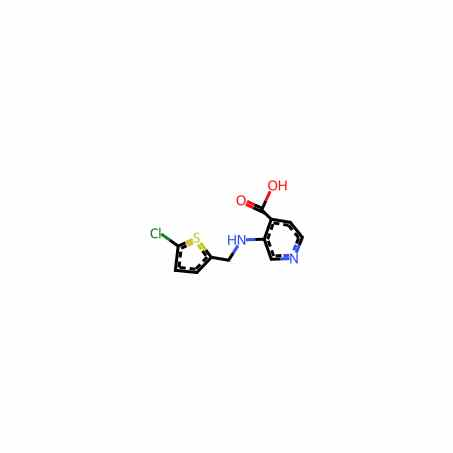 O=C(O)c1ccncc1NCc1ccc(Cl)s1